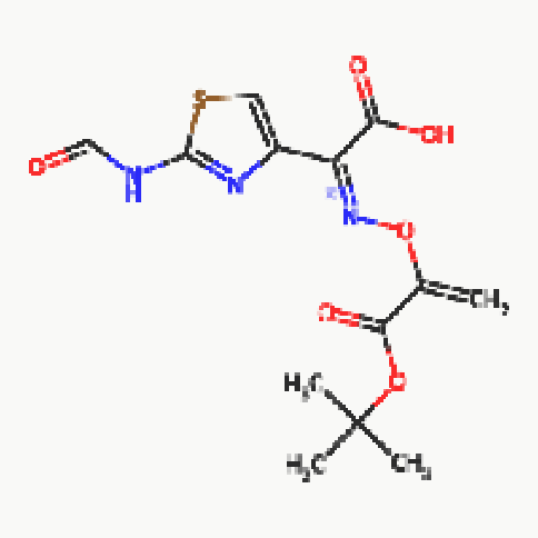 C=C(O/N=C(\C(=O)O)c1csc(NC=O)n1)C(=O)OC(C)(C)C